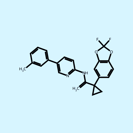 C=C(Nc1ccc(-c2cccc(C)c2)cn1)C1(c2ccc3c(c2)OC(F)(F)O3)CC1